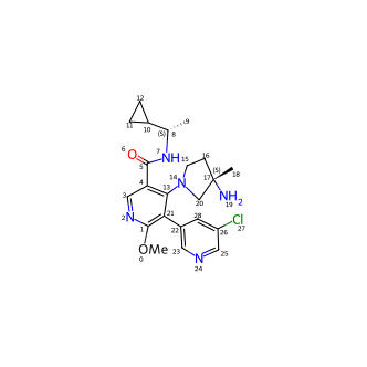 COc1ncc(C(=O)N[C@@H](C)C2CC2)c(N2CC[C@](C)(N)C2)c1-c1cncc(Cl)c1